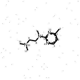 Cc1ccnc(N(C)CCN(C)C)n1